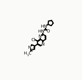 Cn1cc(-c2cnc3ccc(NC(=O)NC4CCCC4)nc3c2Cl)cn1